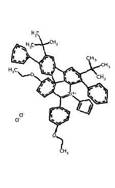 CCOc1ccc([C](c2ccc(OCC)cc2)=[Zr+2]([C]2=CC=CC2)[c]2c3c(cc(C(C)(C)C)c2-c2ccccc2)-c2cc(C(C)(C)C)c(-c4ccccc4)cc2C3)cc1.[Cl-].[Cl-]